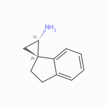 N[C@H]1C[C@@]12CCc1ccccc12